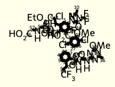 CCOC(=O)C(Cl)Cc1cc(-n2nc(C)n(C(F)F)c2=O)c(F)cc1Cl.COc1c(Cl)ccc(Cl)c1C(=O)O.COc1nc(C)nc(NC(=O)NS(=O)(=O)c2ccccc2CCC(F)(F)F)n1.O=C(O)CNCP(=O)(O)O